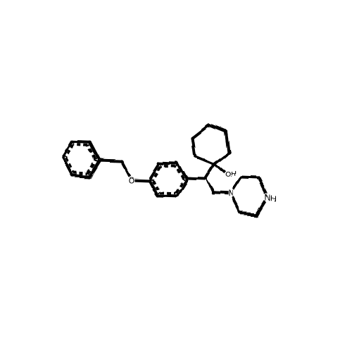 OC1([C@@H](CN2CCNCC2)c2ccc(OCc3ccccc3)cc2)CCCCC1